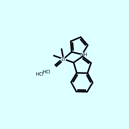 Cl.Cl.[CH2]=[Zr]([CH3])([CH3])([c]1ccc[nH]1)[CH]1C=Cc2ccccc21